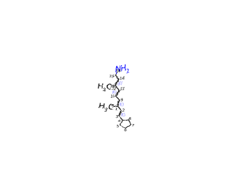 CC(/C=C/C1CCCC1)=C\C=C\C(C)=C\CN